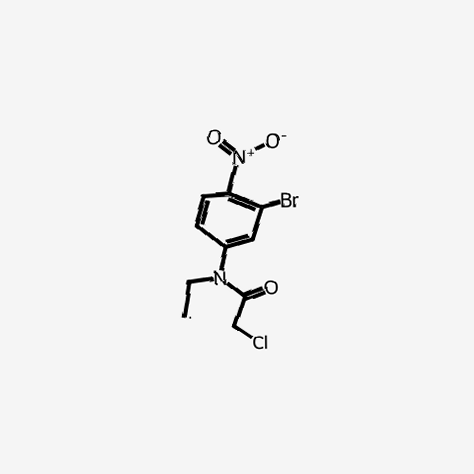 [CH2]CN(C(=O)CCl)c1ccc([N+](=O)[O-])c(Br)c1